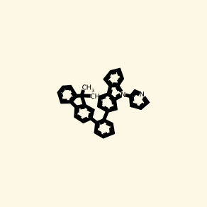 CC1(C)c2ccccc2-c2ccc(-c3ccccc3-c3ccc4c5ccccc5n(-c5cccnc5)c4c3)cc21